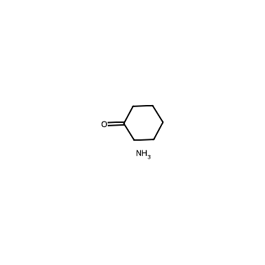 N.O=C1CCCCC1